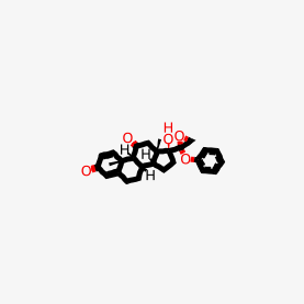 C[C@]12C=CC(=O)C=C1CC[C@@H]1[C@@H]2C(=O)C[C@@]2(C)[C@H]1CC[C@]2(O)C1(Oc2ccccc2)CO1